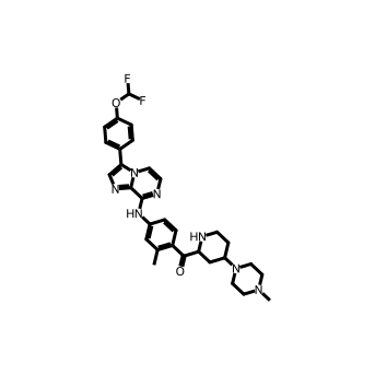 Cc1cc(Nc2nccn3c(-c4ccc(OC(F)F)cc4)cnc23)ccc1C(=O)C1CC(N2CCN(C)CC2)CCN1